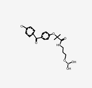 CC(C)(Oc1ccc(C(=O)c2ccc(Cl)cc2)cc1)C(=O)NCCCON(O)O